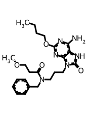 CCCCOc1nc(N)c2[nH]c(=O)n(CCCN(Cc3ccccc3)C(=O)CCOC)c2n1